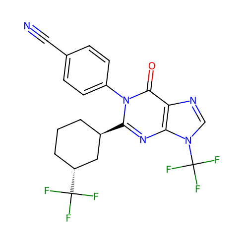 N#Cc1ccc(-n2c([C@@H]3CCC[C@@H](C(F)(F)F)C3)nc3c(ncn3C(F)(F)F)c2=O)cc1